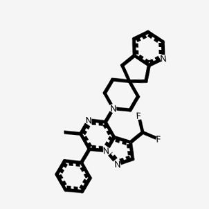 Cc1nc(N2CCC3(CC2)Cc2cccnc2C3)c2c(C(F)F)cnn2c1-c1ccccc1